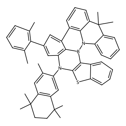 Cc1cc2c(cc1N1c3cc(-c4c(C)cccc4C)cc4c3B(c3c1sc1ccccc31)N1c3ccccc3C(C)(C)c3cccc-4c31)C(C)(C)CCC2(C)C